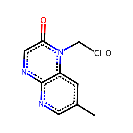 Cc1cnc2ncc(=O)n(CC=O)c2c1